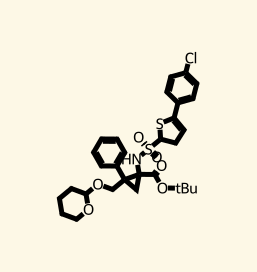 CC(C)(C)OC(=O)C1(NS(=O)(=O)C2CC=C(c3ccc(Cl)cc3)S2)CC1(COC1CCCCO1)c1ccccc1